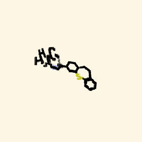 C/C=C\[C@H](CC)C1C=C2Sc3ccccc3CCC2CC1